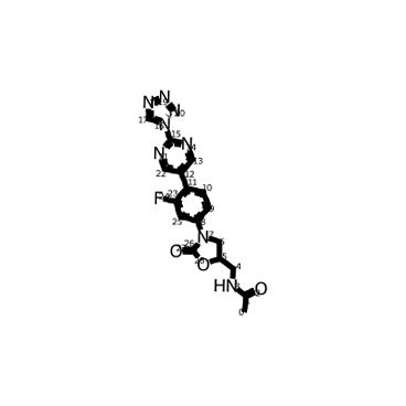 CC(=O)NCC1CN(c2ccc(-c3cnc(-n4cnnn4)nc3)c(F)c2)C(=O)O1